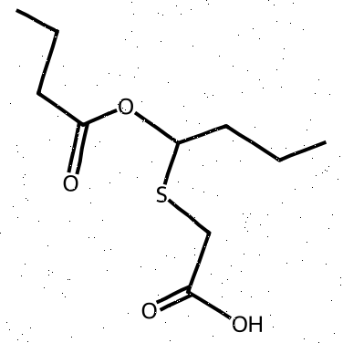 CCCC(=O)OC(CCC)SCC(=O)O